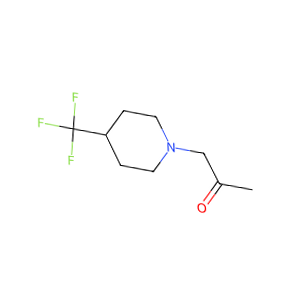 CC(=O)CN1CCC(C(F)(F)F)CC1